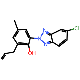 C=CCc1cc(C)cc(-n2nc3ccc(Cl)cc3n2)c1O